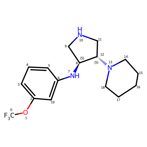 FC(F)(F)Oc1cccc(N[C@H]2CNC[C@@H]2N2CCCCC2)c1